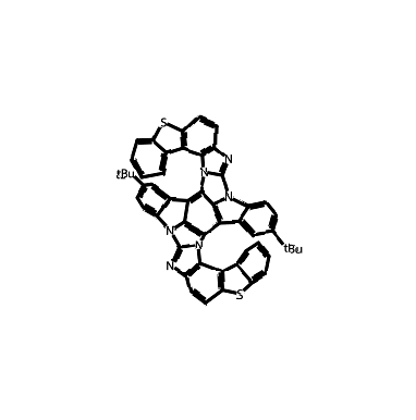 CC(C)(C)c1ccc2c(c1)c1c3c(c4c5cc(C(C)(C)C)ccc5n5c4c1n1c4c(ccc6sc7ccccc7c64)nc51)n1c4c(ccc5sc6ccccc6c54)nc1n23